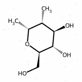 C[C@@H]1[C@@H](O)[C@H](O)[C@@H](CO)O[C@@H]1C